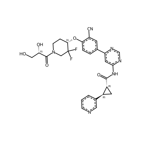 N#Cc1cc(-c2cc(NC(=O)[C@@H]3C[C@H]3c3cccnc3)ncn2)ccc1O[C@H]1CCN(C(=O)[C@@H](O)CO)CC1(F)F